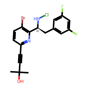 CC(C)(O)C#Cc1ccc(Br)c([C@H](Cc2cc(F)cc(F)c2)NCl)n1